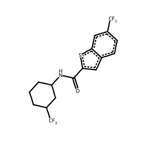 O=C(NC1CCCC(C(F)(F)F)C1)c1cc2ccc(C(F)(F)F)cc2s1